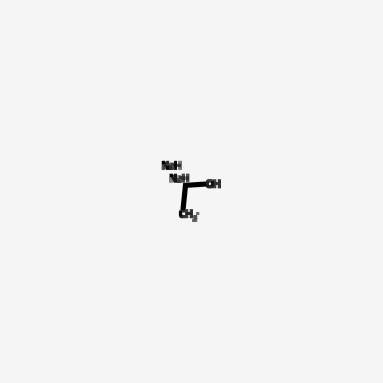 [CH2]CO.[NaH].[NaH]